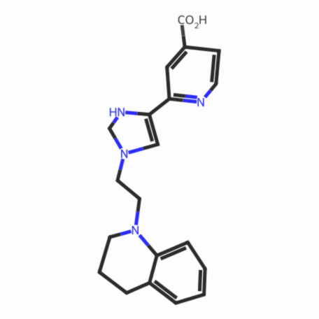 O=C(O)c1ccnc(C2=CN(CCN3CCCc4ccccc43)CN2)c1